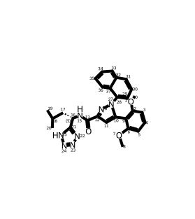 COc1cccc(OC)c1-c1cc(C(=O)N[C@@H](CC(C)C)c2nnn[nH]2)nn1-c1cccc2ccccc12